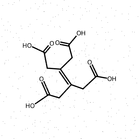 O=C(O)CC(CC(=O)O)=C(CC(=O)O)CC(=O)O